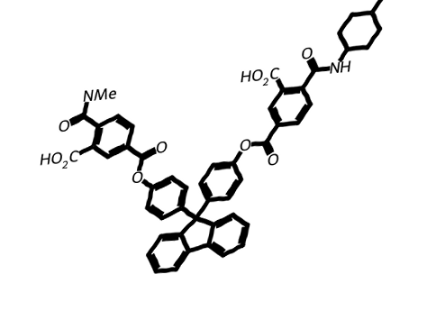 CNC(=O)c1ccc(C(=O)Oc2ccc(C3(c4ccc(OC(=O)c5ccc(C(=O)NC6CCC(C)CC6)c(C(=O)O)c5)cc4)c4ccccc4-c4ccccc43)cc2)cc1C(=O)O